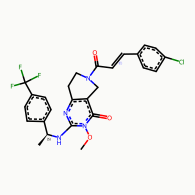 COn1c(N[C@@H](C)c2ccc(C(F)(F)F)cc2)nc2c(c1=O)CN(C(=O)/C=C/c1ccc(Cl)cc1)CC2